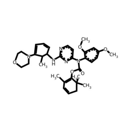 COc1ccc(N(C(=O)OC2=C(C)C=CCC2(C)C)c2ccnc(NC3C=CC=C(N4CCOCC4)C3C)n2)c(OC)c1